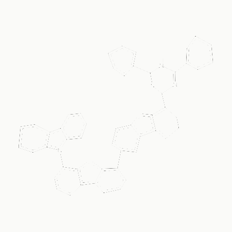 C1=c2c(sc3ccc(-c4cccc5c4sc4c(-n6c7ccccc7c7ccccc76)cccc45)cc23)=C(C2N=C(c3ccccc3)NC(c3ccccc3)N2)CC1